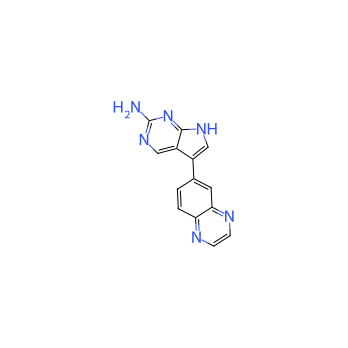 Nc1ncc2c(-c3ccc4nccnc4c3)c[nH]c2n1